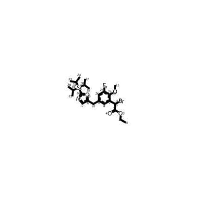 CCOC(=O)C(Br)c1cc(Cc2cnc([Si](C(C)C)(C(C)C)C(C)C)o2)cc(F)c1OC